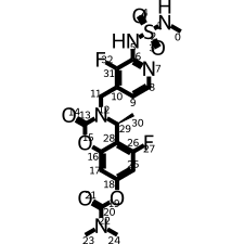 CNS(=O)(=O)Nc1nccc(CN2C(=O)Oc3cc(OC(=O)N(C)C)cc(F)c3[C@@H]2C)c1F